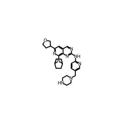 c1cc(Nc2ncc3cc(C4CCOC4)nc(N4C5CCC4CC5)c3n2)ncc1CN1CCNCC1